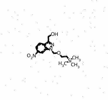 C[Si](C)(C)CCOCn1nc(CO)c2ccc([N+](=O)[O-])cc21